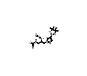 CC1(C)OB(c2cnn(CC(CNC(=O)O)N=[N+]=[N-])c2)OC1(C)C